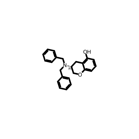 Oc1cccc2c1C[C@@H](N(Cc1ccccc1)Cc1ccccc1)CO2